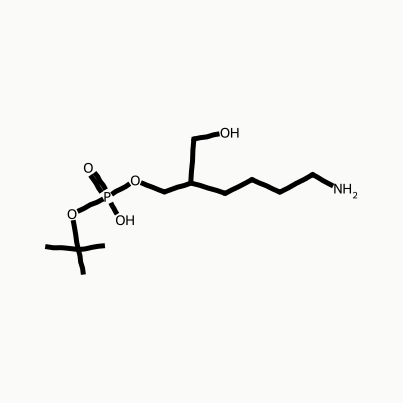 CC(C)(C)OP(=O)(O)OCC(CO)CCCCN